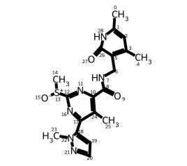 Cc1cc(C)c(CNC(=O)c2nc([S+](C)[O-])nc(-c3ccnn3C)c2C)c(=O)[nH]1